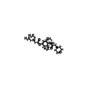 CCN(CC)CC(=O)Oc1cc(C)c(NC(=O)CN2CCOCC2)c(C)c1